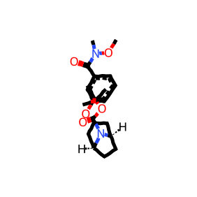 CON(C)C(=O)c1cccc(O[C@H]2C[C@H]3CC[C@@H](C2)N3C(=O)OC(C)(C)C)c1